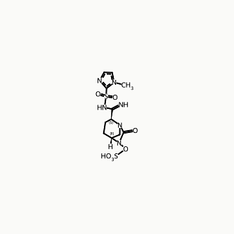 Cn1ccnc1S(=O)(=O)NC(=N)[C@@H]1CC[C@@H]2CN1C(=O)N2OS(=O)(=O)O